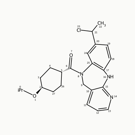 CC(C)O[C@H]1CC[C@H](C(=O)N2Cc3cccnc3Nc3ccc(C(C)Cl)cc32)CC1